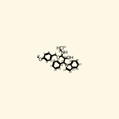 CNC(OCc1ccc(OC)cc1)C(O)C(c1ccccc1)n1ccc2ccccc21.Cl